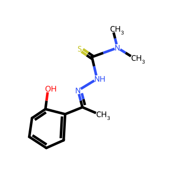 CC(=NNC(=S)N(C)C)c1ccccc1O